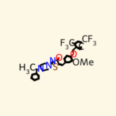 COc1cc(C=C2SC(N3CCN(C(C)c4ccccc4)CC3)=NC2=O)ccc1OCc1ccc(C(F)(F)F)cc1C(F)(F)F